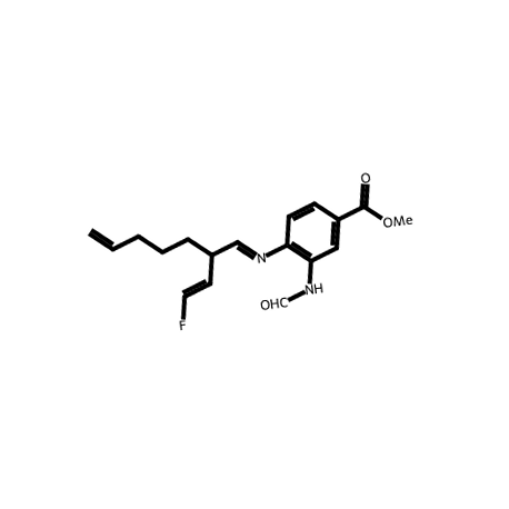 C=CCCCC(/C=C/F)/C=N/c1ccc(C(=O)OC)cc1NC=O